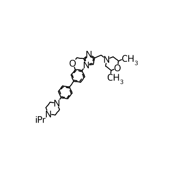 CC1CN(Cc2cn3c(n2)COc2cc(-c4ccc(N5CCN(C(C)C)CC5)cc4)ccc2-3)CC(C)O1